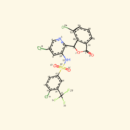 O=C1OC(c2ncc(Cl)cc2NS(=O)(=O)c2ccc(Cl)c(C(F)(F)F)c2)c2c(Cl)cccc21